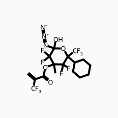 C=C(C(=O)OC1(C)C(F)(F)C(O)(N=[N+]=[N-])OC(C2CCCCC2)(C(F)(F)F)C1(F)F)C(F)(F)F